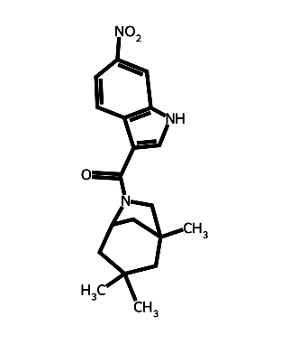 CC1(C)CC2CC(C)(CN2C(=O)c2c[nH]c3cc([N+](=O)[O-])ccc23)C1